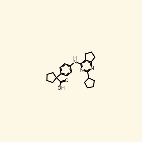 O=C(O)C1(c2ccc(Nc3nc(C4CCCC4)nc4c3CCC4)cc2)CCCC1